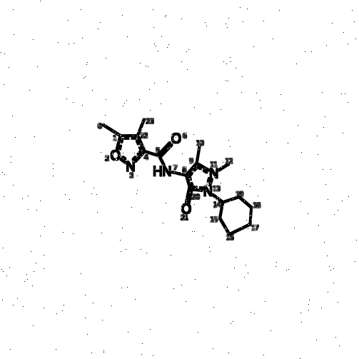 Cc1onc(C(=O)Nc2c(C)n(C)n(C3CCCCC3)c2=O)c1C